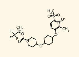 Cc1c(OC2CCC(OC3CCN(C(=O)O[C@H](C)C(F)(F)F)CC3)CC2)ccc(S(C)(=O)=O)[n+]1[O-]